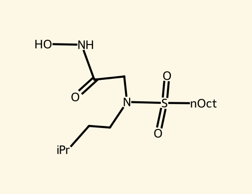 CCCCCCCCS(=O)(=O)N(CCC(C)C)CC(=O)NO